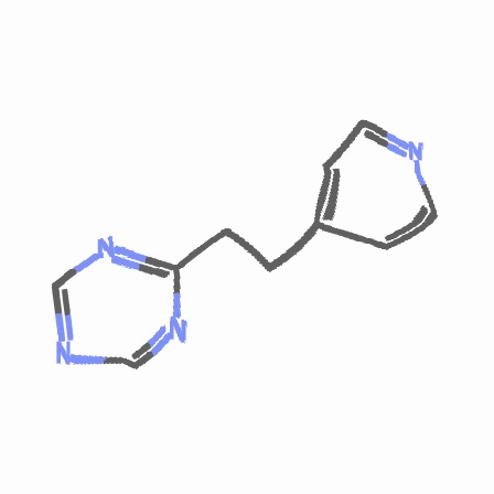 c1cc(CCc2ncncn2)ccn1